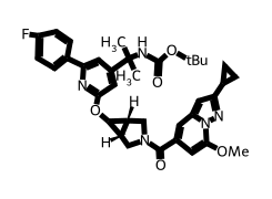 COc1cc(C(=O)N2C[C@@H]3C(Oc4cc(C(C)(C)NC(=O)OC(C)(C)C)cc(-c5ccc(F)cc5)n4)[C@@H]3C2)cc2cc(C3CC3)nn12